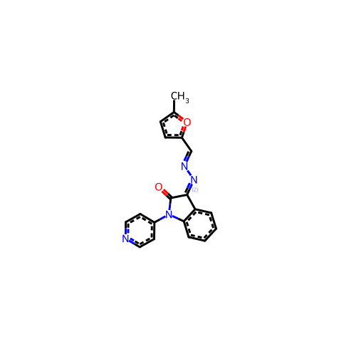 Cc1ccc(C=N/N=C2\C(=O)N(c3ccncc3)c3ccccc32)o1